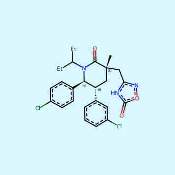 CCC(CC)N1C(=O)[C@](C)(Cc2noc(=O)[nH]2)C[C@H](c2cccc(Cl)c2)[C@H]1c1ccc(Cl)cc1